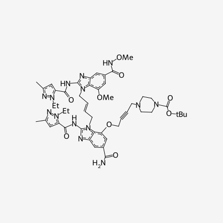 CCn1nc(C)cc1C(=O)Nc1nc2cc(C(=O)NOC)cc(OC)c2n1C/C=C/Cn1c(NC(=O)c2cc(C)nn2CC)nc2cc(C(N)=O)cc(OCC#CCN3CCN(C(=O)OC(C)(C)C)CC3)c21